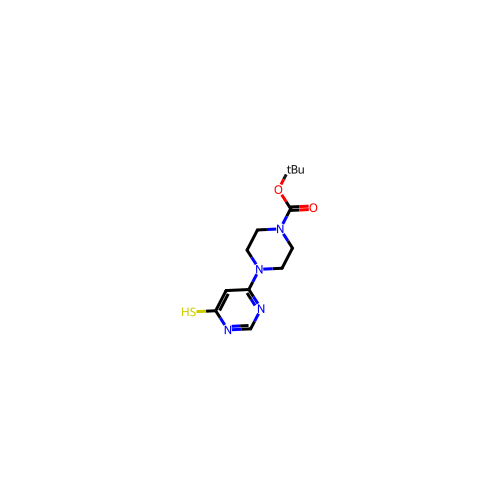 CC(C)(C)OC(=O)N1CCN(c2cc(S)ncn2)CC1